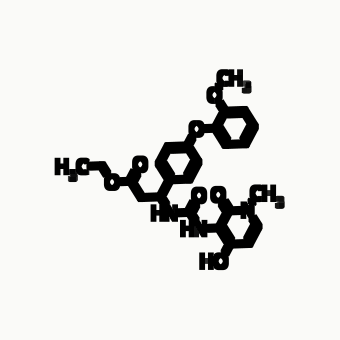 CCOC(=O)CC(NC(=O)Nc1c(O)ccn(C)c1=O)c1ccc(Oc2ccccc2OC)cc1